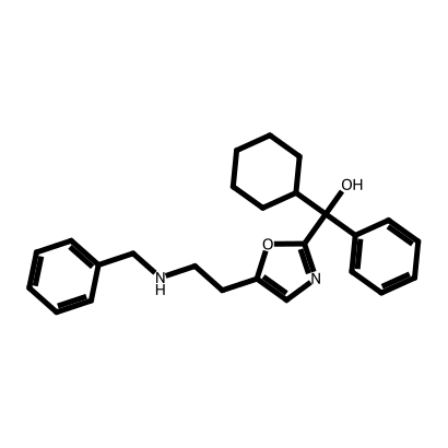 OC(c1ccccc1)(c1ncc(CCNCc2ccccc2)o1)C1CCCCC1